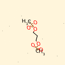 CS(=O)(=O)OCCCOS(C)(=O)=O